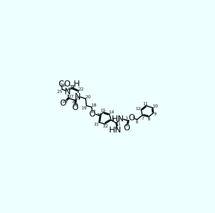 N=C(NC(=O)OCc1ccccc1)c1ccc(OCCCn2ccn(CC(=O)O)c(=O)c2=O)cc1